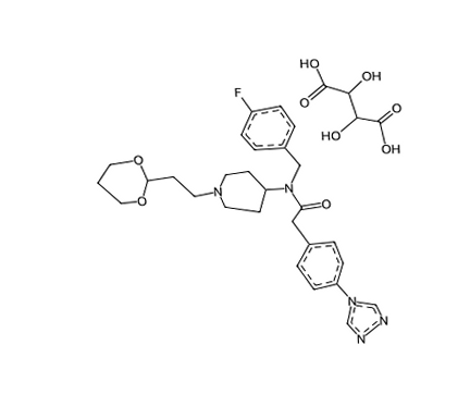 O=C(Cc1ccc(-n2cnnc2)cc1)N(Cc1ccc(F)cc1)C1CCN(CCC2OCCCO2)CC1.O=C(O)C(O)C(O)C(=O)O